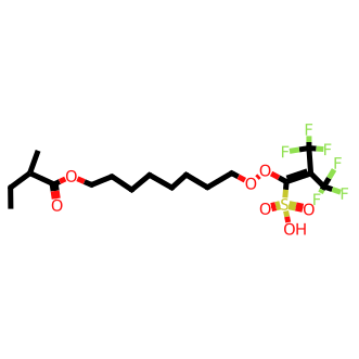 CCC(C)C(=O)OCCCCCCCCOOC(=C(C(F)(F)F)C(F)(F)F)S(=O)(=O)O